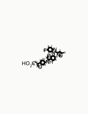 Cc1cc(-c2nc3ccc(F)cc3n2-c2cccc3c2OC[C@H]3Nc2ccc3c(c2)OC[C@H]3CC(=O)O)no1